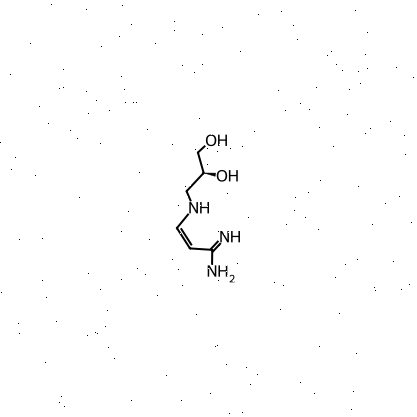 N=C(N)/C=C\NC[C@H](O)CO